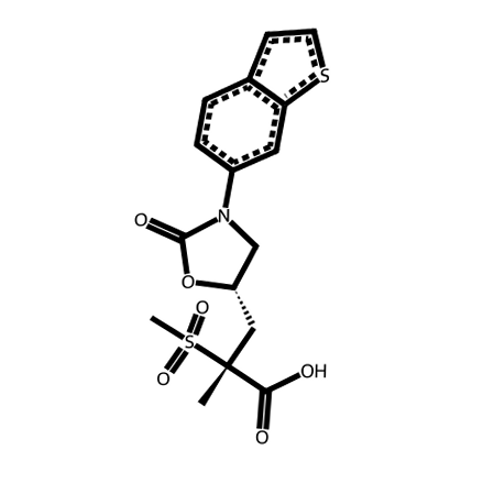 C[C@@](C[C@H]1CN(c2ccc3ccsc3c2)C(=O)O1)(C(=O)O)S(C)(=O)=O